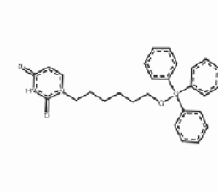 O=c1ccn(CCCCCCO[Si](c2ccccc2)(c2ccccc2)c2ccccc2)c(=O)[nH]1